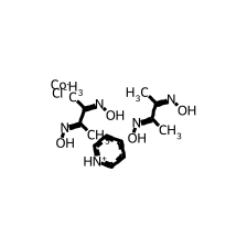 CC(=NO)C(C)=NO.CC(=NO)C(C)=NO.[Cl-].[Co].c1cc[nH+]cc1